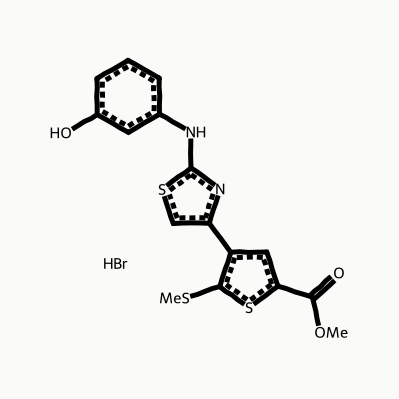 Br.COC(=O)c1cc(-c2csc(Nc3cccc(O)c3)n2)c(SC)s1